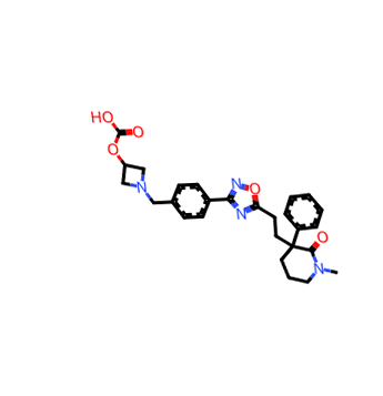 CN1CCCC(CCc2nc(-c3ccc(CN4CC(OC(=O)O)C4)cc3)no2)(c2ccccc2)C1=O